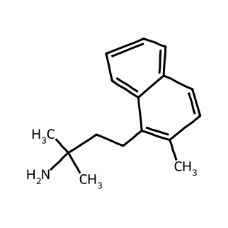 Cc1ccc2ccccc2c1CCC(C)(C)N